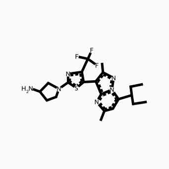 CCC(CC)c1cc(C)nc2c(-c3sc(N4CCC(N)C4)nc3C(F)(F)F)c(C)nn12